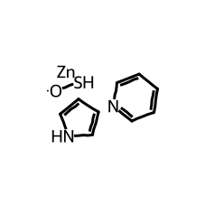 [O]S.[Zn].c1cc[nH]c1.c1ccncc1